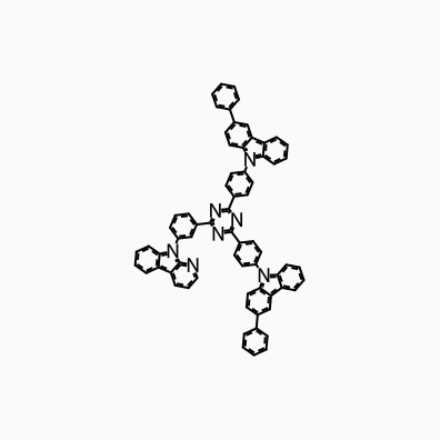 c1ccc(-c2ccc3c(c2)c2ccccc2n3-c2ccc(-c3nc(-c4ccc(-n5c6ccccc6c6cc(-c7ccccc7)ccc65)cc4)nc(-c4cccc(-n5c6ccccc6c6cccnc65)c4)n3)cc2)cc1